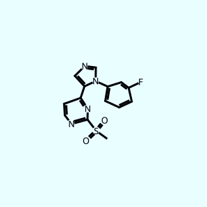 CS(=O)(=O)c1nccc(-c2cncn2-c2cccc(F)c2)n1